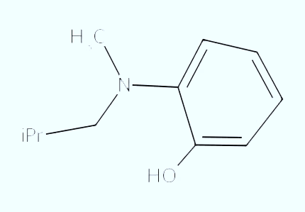 CC(C)CN(C)c1ccccc1O